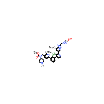 COc1nc(-c2cccc(-c3ccnc(-c4cc(OC)c5nc(CNCCO)nn5c4)c3Cl)c2Cl)ccc1CN(C(=O)OC(C)(C)C)C1CCN(C(C)=O)CC1